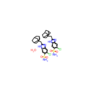 NS(=O)(=O)c1cc2[nH]c(CC34CC5CC(CC(C5)C3)C4)nc2cc1Cl.NS(=O)(=O)c1cc2[nH]c(CC34CC5CC(CC(C5)C3)C4)nc2cc1Cl.O